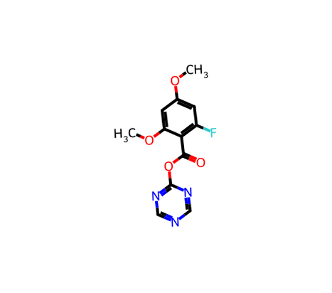 COc1cc(F)c(C(=O)Oc2ncncn2)c(OC)c1